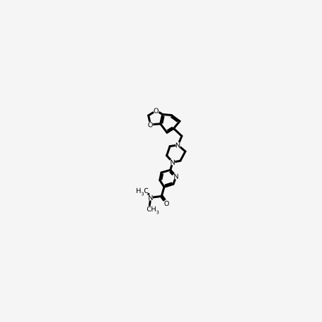 CN(C)C(=O)c1ccc(N2CCN(Cc3ccc4c(c3)OCO4)CC2)nc1